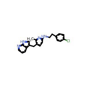 Cc1nc(NCCc2ccc(Cl)cc2)ccc1Cc1c[nH]c2ncccc12